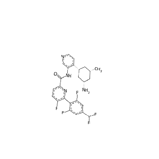 C[C@@H]1C[C@H](N)C[C@H](c2ccncc2NC(=O)c2ccc(F)c(-c3c(F)cc(C(F)F)cc3F)n2)C1